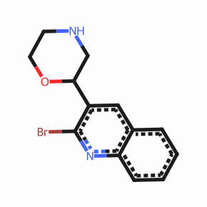 Brc1nc2ccccc2cc1C1CNCCO1